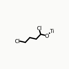 ClCCCC(Cl)[O][Ti]